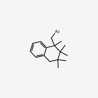 CC(=O)CC1(C)c2ccccc2CC(C)(C)C1(C)C